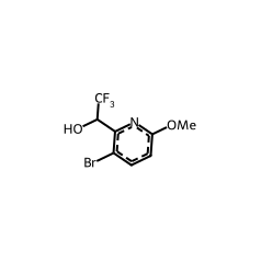 COc1ccc(Br)c(C(O)C(F)(F)F)n1